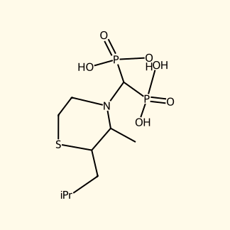 CC(C)CC1SCCN(C(P(=O)(O)O)P(=O)(O)O)C1C